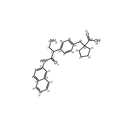 NCC(C(=O)Nc1ccc2cnccc2c1)c1ccc(CC2(C(=O)O)CCCC2)cc1